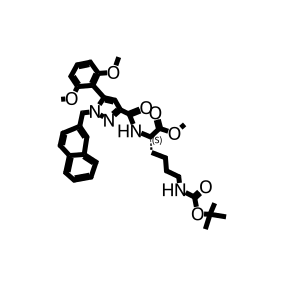 COC(=O)[C@H](CCCCNC(=O)OC(C)(C)C)NC(=O)c1cc(-c2c(OC)cccc2OC)n(Cc2ccc3ccccc3c2)n1